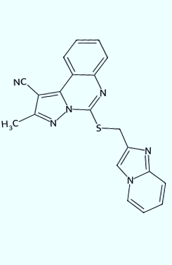 Cc1nn2c(SCc3cn4ccccc4n3)nc3ccccc3c2c1C#N